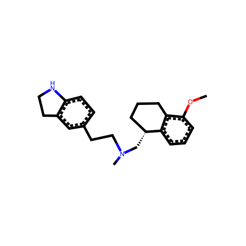 COc1cccc2c1CCC[C@H]2CN(C)CCc1ccc2c(c1)CCN2